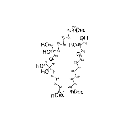 CCCCCCCCCCCCCCCCC(O)(CO)COCC(O)(CO)CCCCCCCCCCCCCCCC.CCCCCCCCCCCCCCCCCCOCC(O)CO